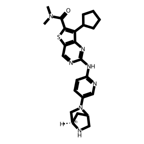 CN(C)C(=O)c1sc2cnc(Nc3ccc(N4C[C@H]5CC4CN5)cn3)nc2c1C1CCCC1